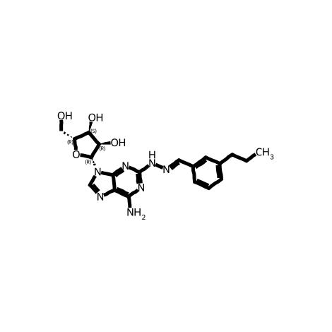 CCCc1cccc(C=NNc2nc(N)c3ncn([C@@H]4O[C@H](CO)[C@@H](O)[C@H]4O)c3n2)c1